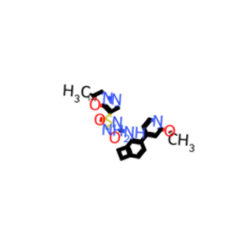 COc1cc(-c2ccc3c(c2NC(=O)N=S(N)(=O)c2cnn4c2O[C@@H](C)C4)CC3)ccn1